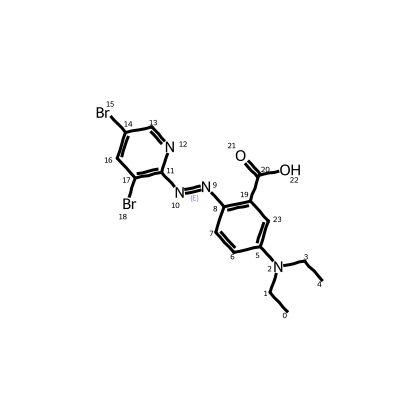 CCN(CC)c1ccc(/N=N/c2ncc(Br)cc2Br)c(C(=O)O)c1